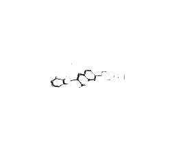 Cl.O=c1oc2cc(C3CCNCC3)ccc2cc1-c1nc2c(Cl)cccc2s1